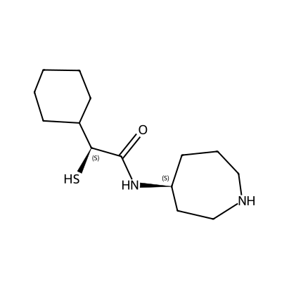 O=C(N[C@H]1CCCNCC1)[C@@H](S)C1CCCCC1